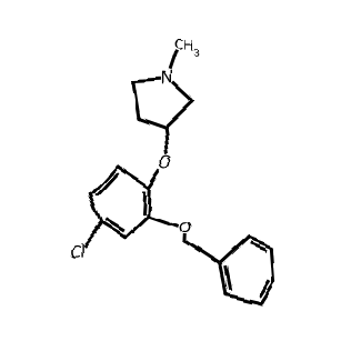 CN1CCC(Oc2ccc(Cl)cc2OCc2ccccc2)C1